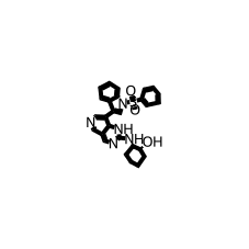 O=S(=O)(c1ccccc1)n1cc(C2=CN=CC3=CN=C(N[C@@H]4CCCC[C@@H]4O)NC32)c2ccccc21